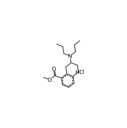 CCCN(CCC)C1CCc2cccc(C(=O)OC)c2C1.Cl